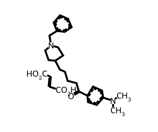 CN(C)c1ccc(C(=O)CCCCC2CCN(Cc3ccccc3)CC2)cc1.O=C(O)C=CC(=O)O